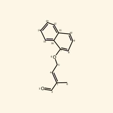 C/C(C=O)=C\COc1cccc2ccccc12